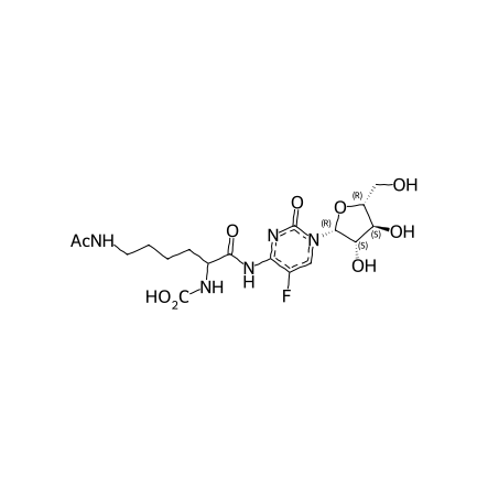 CC(=O)NCCCCC(NC(=O)O)C(=O)Nc1nc(=O)n([C@@H]2O[C@H](CO)[C@@H](O)[C@@H]2O)cc1F